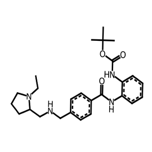 CCN1CCCC1CNCc1ccc(C(=O)Nc2ccccc2NC(=O)OC(C)(C)C)cc1